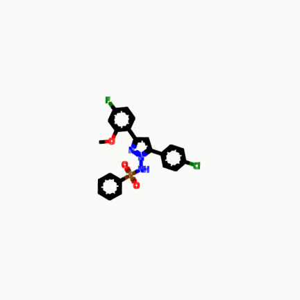 COc1cc(F)ccc1-c1cc(-c2ccc(Cl)cc2)n(NS(=O)(=O)c2ccccc2)n1